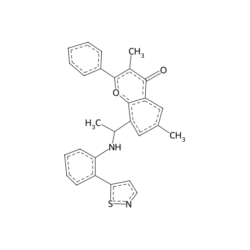 Cc1cc(C(C)Nc2ccccc2-c2ccns2)c2oc(-c3ccccc3)c(C)c(=O)c2c1